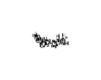 CN/C=C(\C=N)Nc1nccc(-c2ccc3c(c2)COCC3NC(=O)OC(C)(C)C)n1